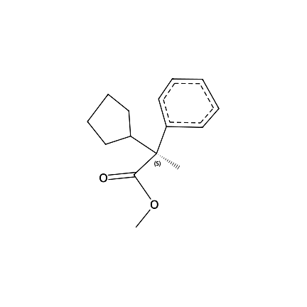 COC(=O)[C@](C)(c1ccccc1)C1CCCC1